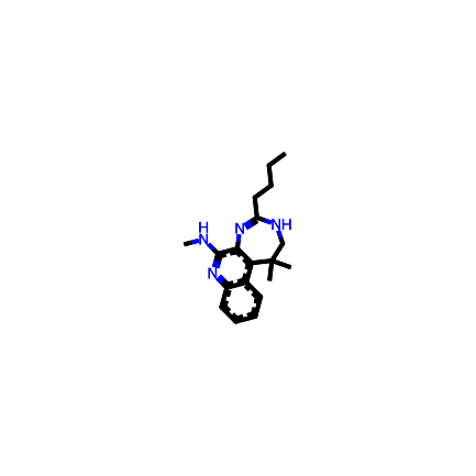 CCCCC1=Nc2c(NC)nc3ccccc3c2C(C)(C)CN1